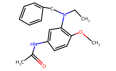 CCN(Cc1ccccc1)c1cc(NC(C)=O)ccc1OC